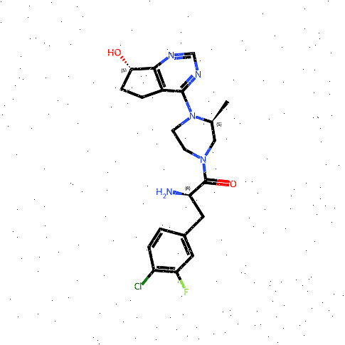 C[C@H]1CN(C(=O)[C@H](N)Cc2ccc(Cl)c(F)c2)CCN1c1ncnc2c1CC[C@@H]2O